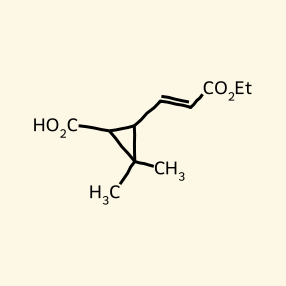 CCOC(=O)C=CC1C(C(=O)O)C1(C)C